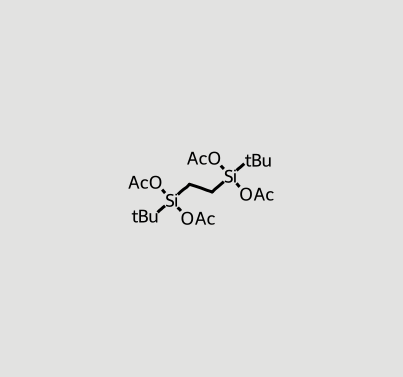 CC(=O)O[Si](CC[Si](OC(C)=O)(OC(C)=O)C(C)(C)C)(OC(C)=O)C(C)(C)C